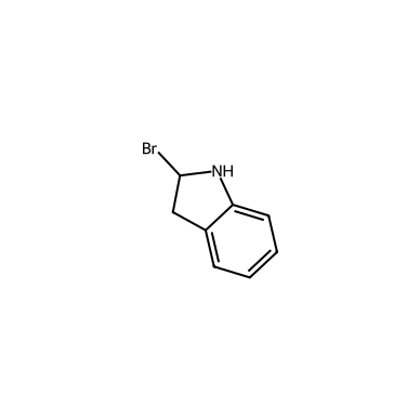 BrC1Cc2ccccc2N1